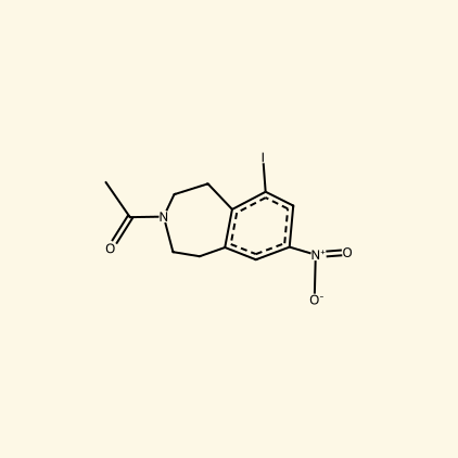 CC(=O)N1CCc2cc([N+](=O)[O-])cc(I)c2CC1